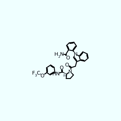 NC(=O)c1ccccc1-n1cc(CC(=O)N2CCC[C@H]2C(=O)Nc2cccc(OC(F)(F)F)c2)c2ccccc21